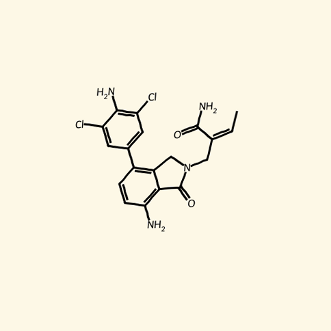 C/C=C(/CN1Cc2c(-c3cc(Cl)c(N)c(Cl)c3)ccc(N)c2C1=O)C(N)=O